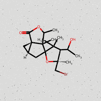 CC(O)C1C(C)(C)C2(C[C@H]3C[C@]34C(=O)OC(C)C24C)O[C@]1(C)CBr